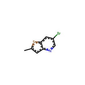 Cc1cc2ncc(Br)cc2s1